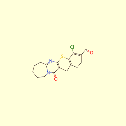 O=CC1=C(Cl)C2=C(CC1)Cc1c(nc3n(c1=O)CCCCC3)S2